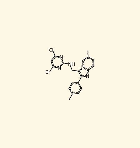 Cc1ccc(-c2nc3ccc(C)cn3c2CNc2nc(Cl)cc(Cl)n2)cc1